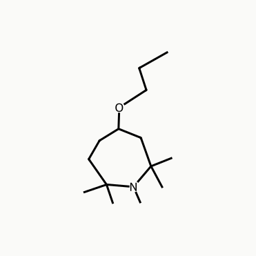 CCCOC1CCC(C)(C)N(C)C(C)(C)C1